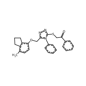 Cc1ccc(OCc2nnc(SCC(=O)c3ccccc3)n2-c2ccccc2)c2c1CCC2